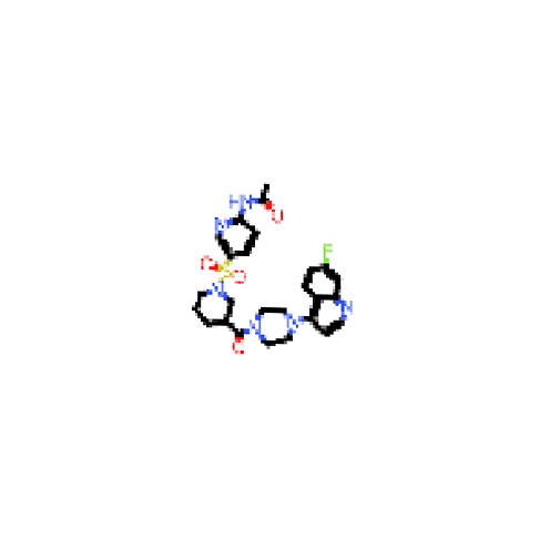 CC(=O)Nc1ccc(S(=O)(=O)N2CCCC(C(=O)N3CCN(c4ccnc5cc(F)ccc45)CC3)C2)cn1